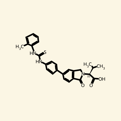 Cc1ccccc1NC(=S)Nc1ccc(-c2ccc3c(c2)CN([C@H](C(=O)O)C(C)C)C3=O)cc1